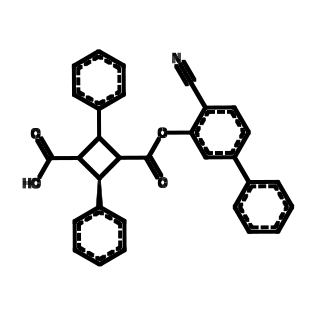 N#Cc1ccc(-c2ccccc2)cc1OC(=O)C1C(c2ccccc2)C(C(=O)O)[C@@H]1c1ccccc1